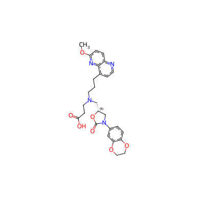 COc1ccc2nccc(CCCN(CCC(=O)O)C[C@@H]3CN(c4ccc5c(c4)OCCO5)C(=O)O3)c2n1